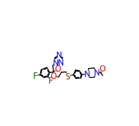 CC(=O)N1CCN(c2ccc(SCC3COC(Cn4cncn4)(c4ccc(F)cc4F)O3)cc2)CC1